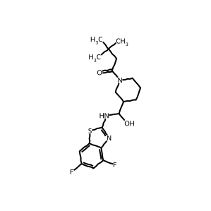 CC(C)(C)CC(=O)N1CCCC(C(O)Nc2nc3c(F)cc(F)cc3s2)C1